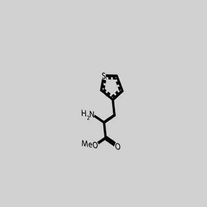 COC(=O)C(N)Cc1ccsc1